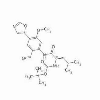 COc1cc(NC(=O)[C@@H](CC(C)C)NC(=O)OC(C)(C)C)c(C=O)cc1-c1cnco1